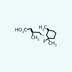 C=C1CCC[C@](C)(F)[C@@H]1CC/C(C)=C/C(=O)O